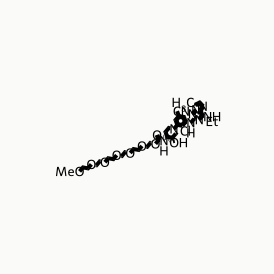 CCNc1nc(Nc2cc(C#N)cc(N3CC[C@@H](NC(=O)OCCOCCOCCOCCOCCOCCOC)[C@H](O)C3)c2Cl)nn2c(C)cnc12